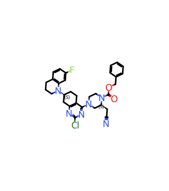 N#CC[C@H]1CN(c2nc(Cl)nc3c2CC[C@H](N2CCCc4ccc(F)cc42)C3)CCN1C(=O)OCc1ccccc1